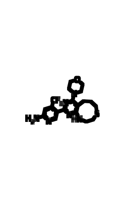 Nc1cc(C(F)(F)F)c(-c2nc3c(c(N4CCOCC4)n2)CCCSCCN3)cn1